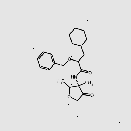 CC1OCC(=O)C1(C)NC(=O)C(CC1CCCCC1)OCc1ccccc1